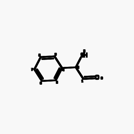 O=CC(S)c1ccccc1